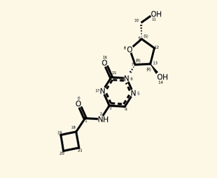 O=C(Nc1cnn([C@@H]2O[C@H](CO)C[C@H]2O)c(=O)n1)C1CCC1